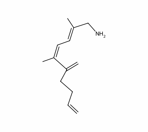 C=CCCC(=C)/C(C)=C\C=C(/C)CN